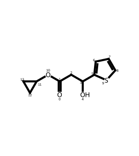 O=C(CC(O)c1cccs1)OC1CC1